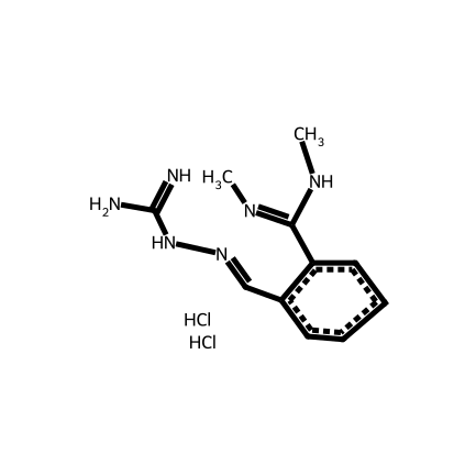 CN=C(NC)c1ccccc1C=NNC(=N)N.Cl.Cl